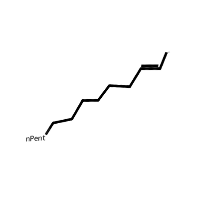 [CH2]C=CCCCCCCCCCCC